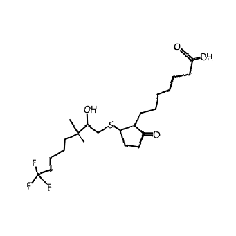 CC(C)(CCCCC(F)(F)F)C(O)CSC1CCC(=O)C1CCCCCCC(=O)O